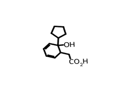 O=C(O)CC1C=CC=CC1(O)C1CCCC1